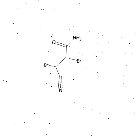 N#CC(Br)C(Br)C(N)=O